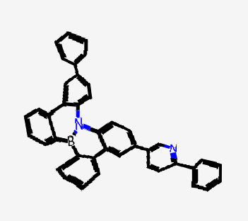 c1ccc(-c2ccc3c(c2)-c2ccccc2B2c4ccccc4-c4cc(-c5ccc(-c6ccccc6)nc5)ccc4N23)cc1